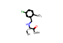 COC(=O)[C@H](CC(C)C)NCc1cc(F)ccc1[N+](=O)[O-]